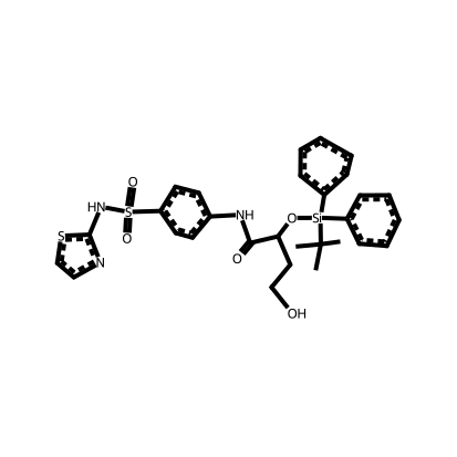 CC(C)(C)[Si](OC(CCO)C(=O)Nc1ccc(S(=O)(=O)Nc2nccs2)cc1)(c1ccccc1)c1ccccc1